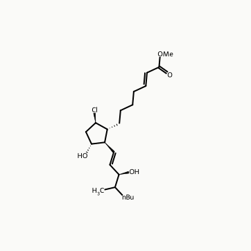 CCCCC(C)[C@H](O)/C=C/[C@@H]1[C@@H](CCCC/C=C/C(=O)OC)[C@H](Cl)C[C@H]1O